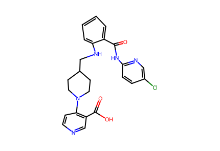 O=C(Nc1ccc(Cl)cn1)c1ccccc1NCC1CCN(c2ccncc2C(=O)O)CC1